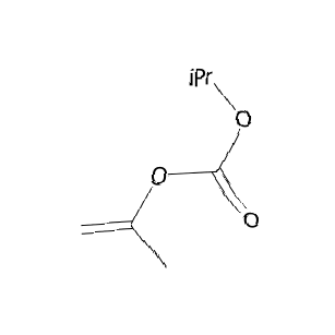 C=C(C)OC(=O)OC(C)C